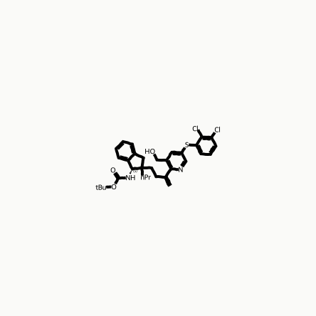 C=C(CCC1(CCC)Cc2ccccc2[C@H]1NC(=O)OC(C)(C)C)c1ncc(Sc2cccc(Cl)c2Cl)cc1CO